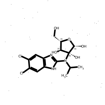 CC(C)N(c1nc2cc(Cl)c(Cl)cc2[nH]1)[C@]1(O)[C@@H](O)O[C@@H](CO)[C@@H]1O